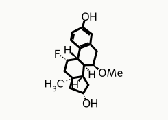 CO[C@@H]1Cc2cc(O)ccc2[C@@H]2[C@@H]1[C@@H]1C[C@H](O)C[C@@]1(C)C[C@@H]2F